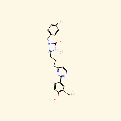 CCOc1ccc(-c2nccc(CCCc3nn(Cc4ccc(C(C)(C)C)cc4)c(=O)n3CC)n2)cc1CC(C)=O